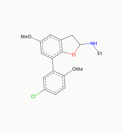 CCNC1Cc2cc(OC)cc(-c3cc(Cl)ccc3OC)c2O1